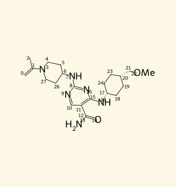 C=C(C)N1CCC(Nc2ncc(C(N)=O)c(N[C@H]3CC[C@@H](COC)CC3)n2)CC1